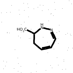 O=C(O)C1CC=CC=NN1